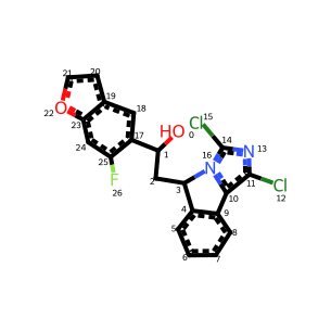 OC(CC1c2ccccc2-c2c(Cl)nc(Cl)n21)c1cc2ccoc2cc1F